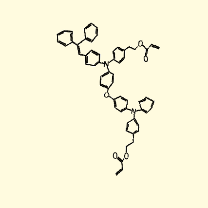 C=CC(=O)OCCc1ccc(N(c2ccccc2)c2ccc(Oc3ccc(N(c4ccc(C=C(c5ccccc5)c5ccccc5)cc4)c4ccc(CCOC(=O)C=C)cc4)cc3)cc2)cc1